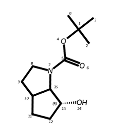 CC(C)(C)OC(=O)N1CCC2CC[C@@H](O)C21